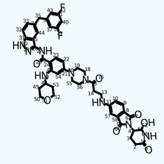 O=C1CCC(N2C(=O)c3ccc(NCCC(=O)N4CCN(c5ccc(C(=O)Nc6n[nH]c7ccc(Cc8cc(F)cc(F)c8)cc67)c(NC6CCOCC6)c5)CC4)cc3C2=O)C(O)N1